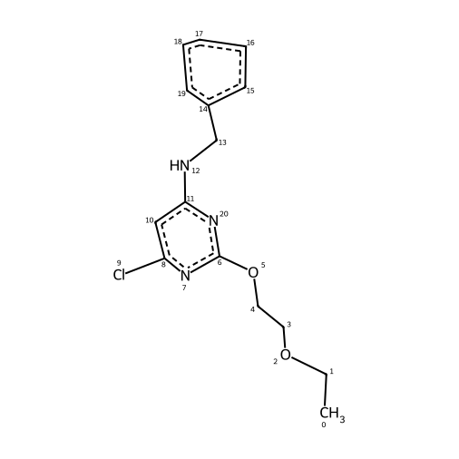 CCOCCOc1nc(Cl)cc(NCc2ccccc2)n1